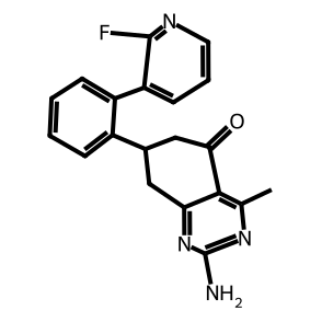 Cc1nc(N)nc2c1C(=O)CC(c1ccccc1-c1cccnc1F)C2